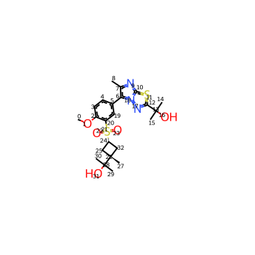 COc1ccc(-c2c(C)nc3sc(C(C)(C)O)nn23)cc1S(=O)(=O)[C@H]1C[C@@](C)(C(C)(C)O)C1